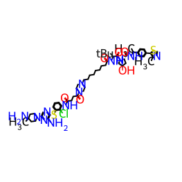 Cc1ncsc1-c1ccc(C(C)NC(=O)[C@@H]2C[C@@H](O)CN2C(=O)C(NC(=O)CCCCCCCCN2CCN(C(=O)CCC(=O)Nc3cccc(Sc4ncc(N5CCC(C)(N)CC5)nc4N)c3Cl)CC2)C(C)(C)C)cc1